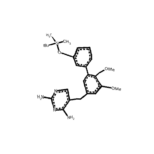 COc1cc(Cc2cnc(N)nc2N)cc(-c2cccc(O[Si](C)(C)C(C)(C)C)c2)c1OC